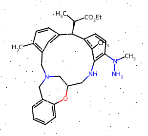 CCOC(=O)C(C)[C@@H]1c2ccc(C)c(c2)CN2Cc3ccccc3OC(CNc3c(N(C)N)ccc1c3C)C2